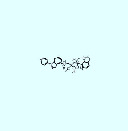 CC(C)(CC(O)(CNc1cccc2c1cnn2-c1ccncc1)C(F)(F)F)c1cccc2c1OCC2